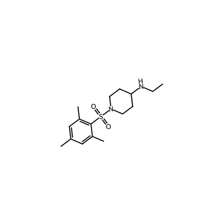 CCNC1CCN(S(=O)(=O)c2c(C)cc(C)cc2C)CC1